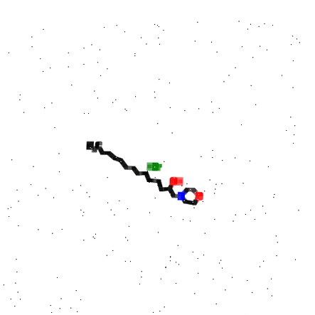 Br.CCCCCCCCCCCCC(O)CN1CCOCC1